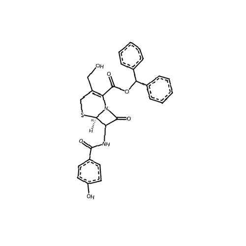 O=C(OC(c1ccccc1)c1ccccc1)C1=C(CO)CS[C@@H]2C(NC(=O)c3ccc(O)cc3)C(=O)N12